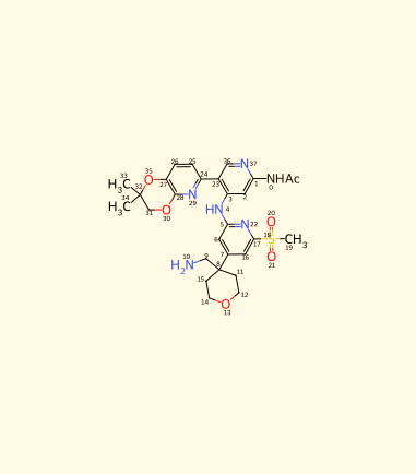 CC(=O)Nc1cc(Nc2cc(C3(CN)CCOCC3)cc(S(C)(=O)=O)n2)c(-c2ccc3c(n2)OCC(C)(C)O3)cn1